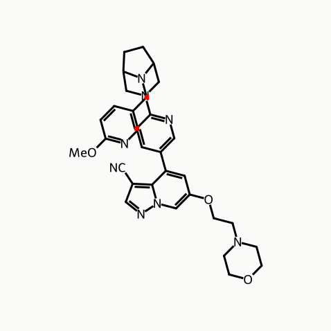 COc1ccc(CN2C3CCC2CN(c2ccc(-c4cc(OCCN5CCOCC5)cn5ncc(C#N)c45)cn2)C3)cn1